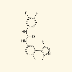 Cc1ccc(NC(=O)Nc2ccc(F)c(F)c2)cc1-c1c(F)cnn1C